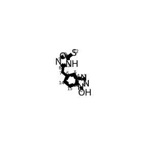 On1nnc2cc(Cc3noc(=S)[nH]3)ccc21